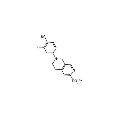 CCOC(=O)c1cc2c(cn1)CN(c1ccc(C#N)c(F)c1)CC2